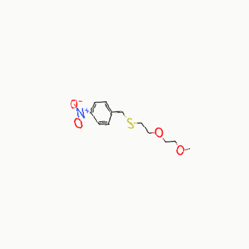 COCCOCCSCc1ccc([N+](=O)[O-])cc1